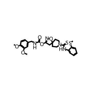 COc1ccc(CNC(=O)OC2=NOC3(CCN(C(=S)Nc4ccccc4SC)CC3)C2)cc1OC